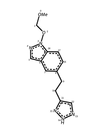 COCOn1ncc2cc(CCc3cn[nH]n3)ccc21